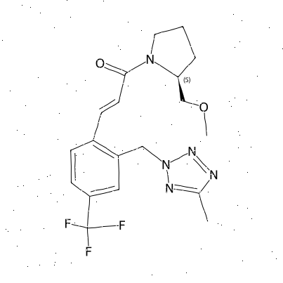 COC[C@@H]1CCCN1C(=O)C=Cc1ccc(C(F)(F)F)cc1Cn1nnc(C)n1